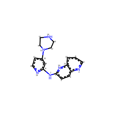 c1cnc2ccc(Nc3cc(N4CCNCC4)ccn3)nc2c1